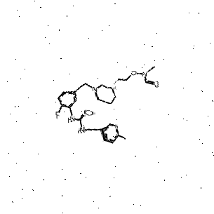 Cc1ccc(NC(=O)Nc2cc(CN3CCC[C@@H](CCON(C)C=O)C3)ccc2F)cn1